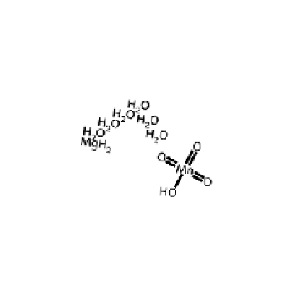 O.O.O.O.O.O.[MgH2].[O]=[Mn](=[O])(=[O])[OH]